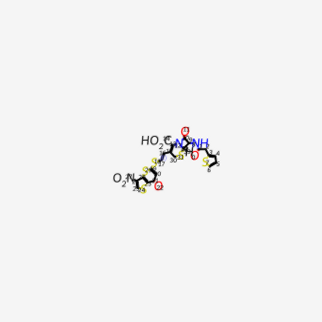 O=C(Cc1cccs1)NC1C(=O)N2C(C(=O)O)=C(/C=C/Sc3cc(=O)c4scc([N+](=O)[O-])c4s3)CS[C@H]12